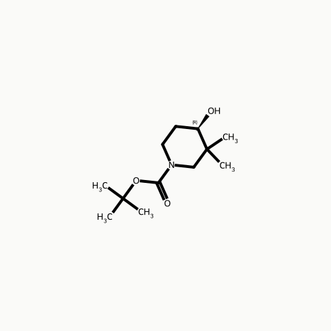 CC(C)(C)OC(=O)N1CC[C@@H](O)C(C)(C)C1